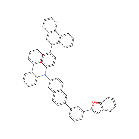 c1ccc(-c2ccccc2N(c2ccc(-c3cc4ccccc4c4ccccc34)cc2)c2ccc3cc(-c4cccc(-c5cc6ccccc6o5)c4)ccc3c2)cc1